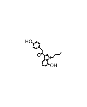 CCCCn1cc(C(=O)Cc2ccc(O)cc2)c2cccc(O)c21